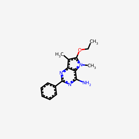 CCOc1c(C)c2nc(-c3ccccc3)nc(N)c2n1C